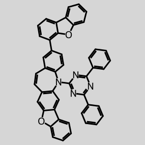 C1=Cc2cc3oc4ccccc4c3cc2N(c2nc(-c3ccccc3)nc(-c3ccccc3)n2)c2ccc(-c3cccc4c3oc3ccccc34)cc21